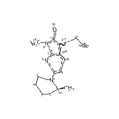 C[C@H]1CCCCN1c1ccc2c(n1)n(C)c(=O)n2CC(C)(C)C